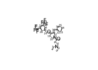 CCN(CC)CCC(=O)N1CCC(OCc2cc(C(F)(F)F)cc(C(F)(F)F)c2)C(Cc2ccccc2)C1